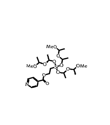 COC(C)OC(C)O[Si](CCOC(=O)c1ccncc1)(OC(C)OC(C)OC)OC(C)OC(C)OC